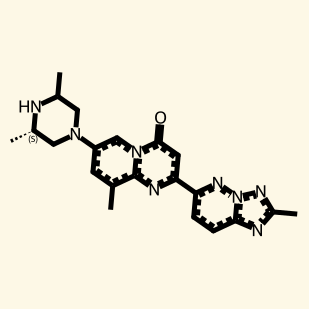 Cc1nc2ccc(-c3cc(=O)n4cc(N5CC(C)N[C@@H](C)C5)cc(C)c4n3)nn2n1